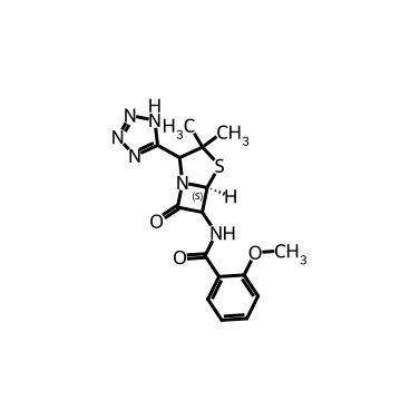 COc1ccccc1C(=O)NC1C(=O)N2C(c3nnn[nH]3)C(C)(C)S[C@@H]12